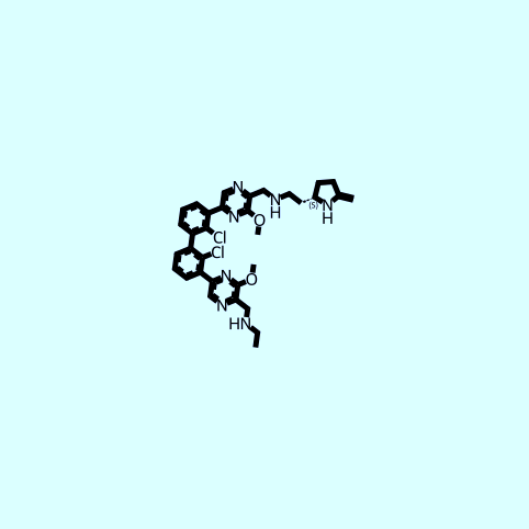 C=C1CC[C@@H](CCNCc2ncc(-c3cccc(-c4cccc(-c5cnc(CNCC)c(OC)n5)c4Cl)c3Cl)nc2OC)N1